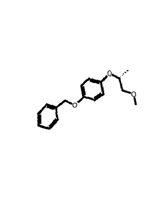 COC[C@@H](C)Oc1ccc(OCc2ccccc2)cc1